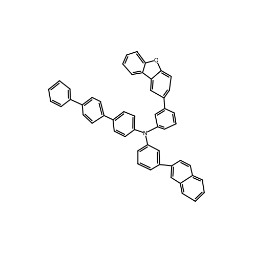 c1ccc(-c2ccc(-c3ccc(N(c4cccc(-c5ccc6ccccc6c5)c4)c4cccc(-c5ccc6oc7ccccc7c6c5)c4)cc3)cc2)cc1